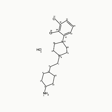 Cl.NC1CCC(CCN2CCN(c3cccc(Cl)c3Cl)CC2)CC1